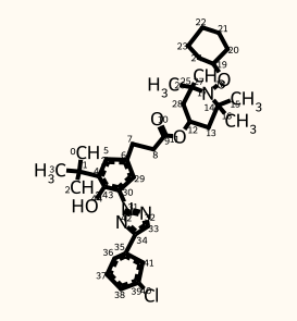 CC(C)(C)c1cc(CCC(=O)OC2CC(C)(C)N(OC3CCCCC3)C(C)(C)C2)cc(-n2ncc(-c3cccc(Cl)c3)n2)c1O